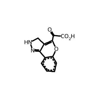 O=C(O)C(=O)C1=C2CNN=C2c2ccccc2O1